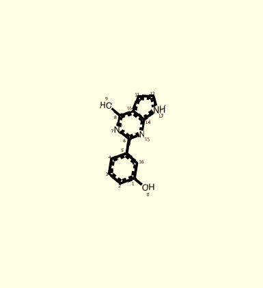 Oc1cccc(-c2nc(O)c3cc[nH]c3n2)c1